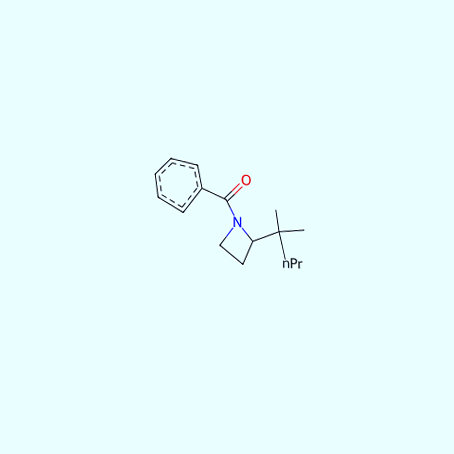 CCCC(C)(C)C1CCN1C(=O)c1ccccc1